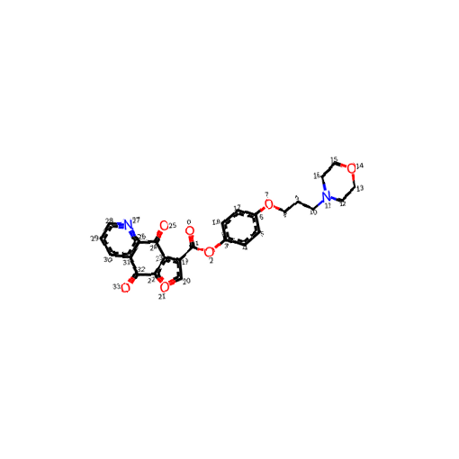 O=C(Oc1ccc(OCCCN2CCOCC2)cc1)c1coc2c1C(=O)c1ncccc1C2=O